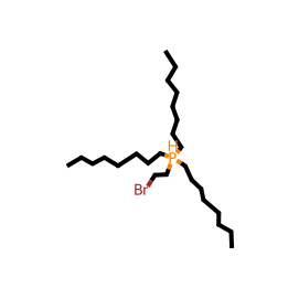 CCCCCCCC[PH](CCBr)(CCCCCCCC)CCCCCCCC